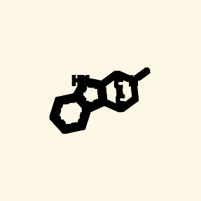 CN1CC2CCC1c1[nH]c3ccccc3c12